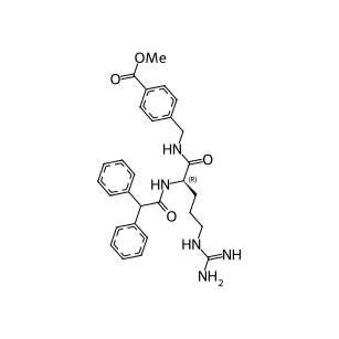 COC(=O)c1ccc(CNC(=O)[C@@H](CCCNC(=N)N)NC(=O)C(c2ccccc2)c2ccccc2)cc1